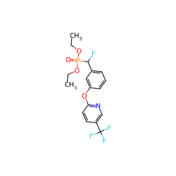 CCOP(=O)(OCC)C(F)c1cccc(Oc2ccc(C(F)(F)F)cn2)c1